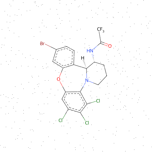 O=C(N[C@@H]1CCCN2c3c(cc(Cl)c(Cl)c3Cl)Oc3cc(Br)ccc3[C@@H]12)C(F)(F)F